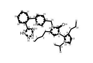 CCCCc1cn(-c2c(CCC)ccn2C(C)C)c(=O)n1Cc1ccc(-c2ccccc2-c2nnn[nH]2)nc1